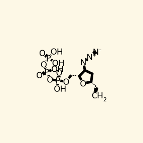 C=C[C@H]1CC(N=[N+]=[N-])[C@@H](COP(=O)(O)OP(=O)(O)OP(=O)(O)O)O1